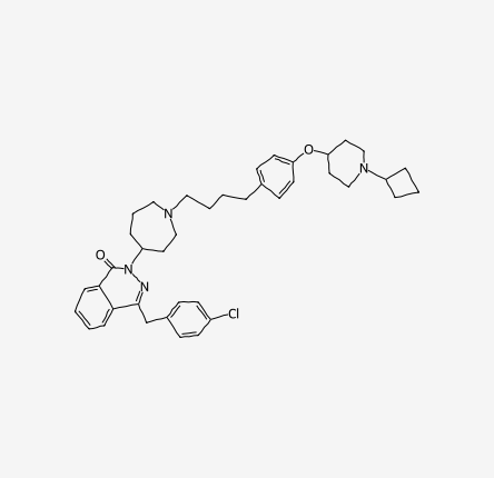 O=c1c2ccccc2c(Cc2ccc(Cl)cc2)nn1C1CCCN(CCCCc2ccc(OC3CCN(C4CCC4)CC3)cc2)CC1